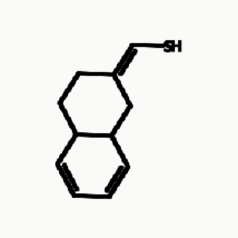 SC=C1CCC2C=CC=CC2C1